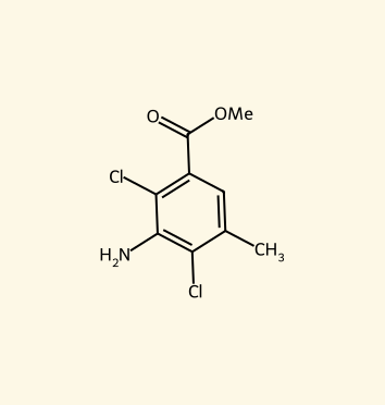 COC(=O)c1cc(C)c(Cl)c(N)c1Cl